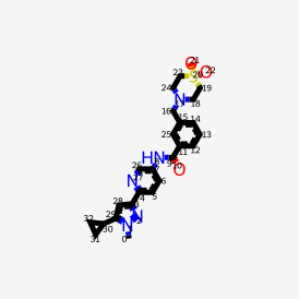 Cn1nc(-c2ccc(NC(=O)c3cccc(CN4CCS(=O)(=O)CC4)c3)cn2)cc1C1CC1